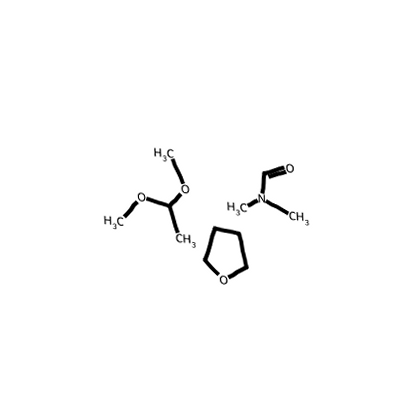 C1CCOC1.CN(C)C=O.COC(C)OC